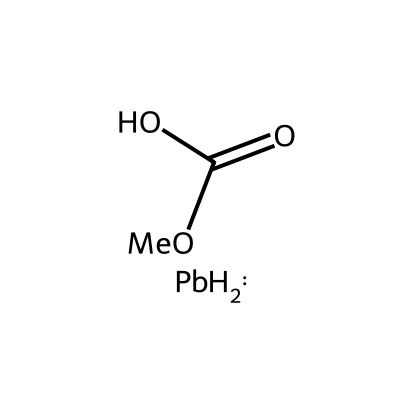 COC(=O)O.[PbH2]